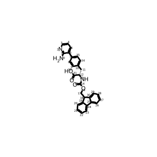 Nc1ncccc1-c1ccc(C[C@H](NC(=O)OCC2c3ccccc3-c3ccccc32)C(=O)O)cc1